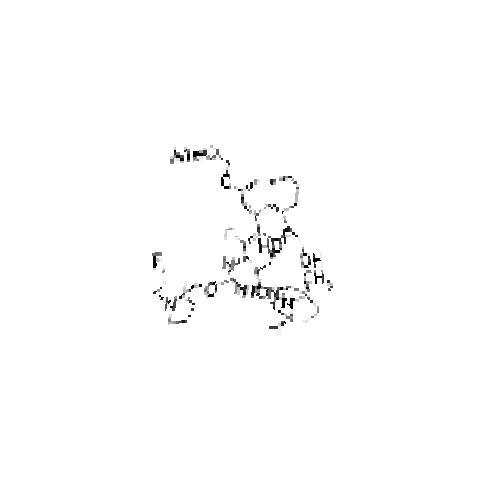 COCOc1cc(-c2c(F)cc3c(N4C[C@H]5CC[C@@](C)(C4)N5C(=O)O)nc(OC[C@@]45CCCN4C[C@H](F)C5)nc3c2F)c2c(C(O)CO)cccc2c1